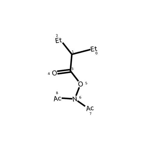 CCC(CC)C(=O)ON(C(C)=O)C(C)=O